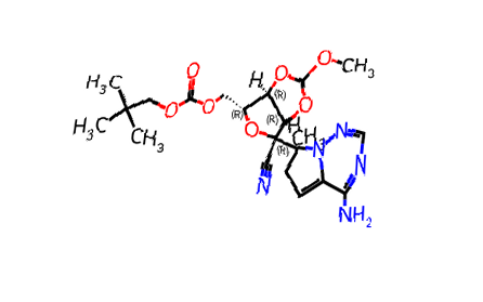 COC1O[C@H]2[C@@H](O1)[C@](C#N)(C1(C)CC=C3C(N)=NC=NN31)O[C@@H]2COC(=O)OCC(C)(C)C